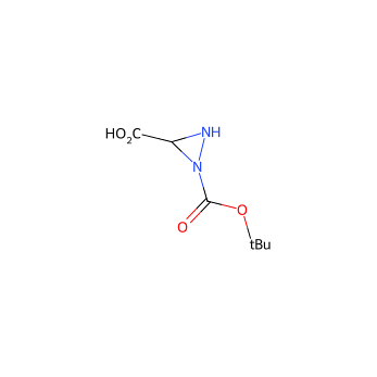 CC(C)(C)OC(=O)N1NC1C(=O)O